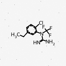 CCc1ccc(Cl)c(N(C(=N)N)C(F)(F)F)c1